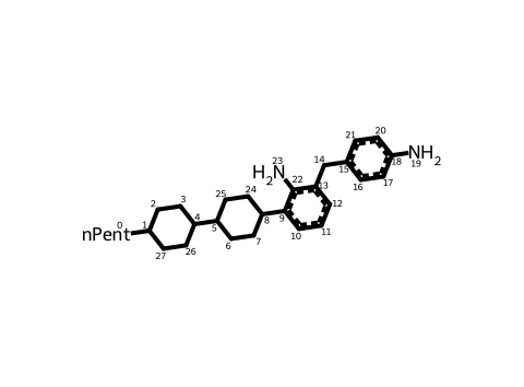 CCCCCC1CCC(C2CCC(c3cccc(Cc4ccc(N)cc4)c3N)CC2)CC1